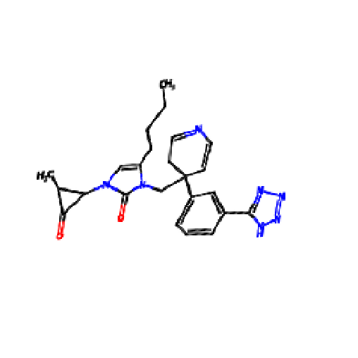 CCCCc1cn(C2C(=O)C2C)c(=O)n1CC1(c2cccc(-c3nnn[nH]3)c2)C=CN=CC1